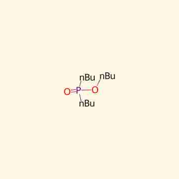 CCCCOP(=O)(CCCC)CCCC